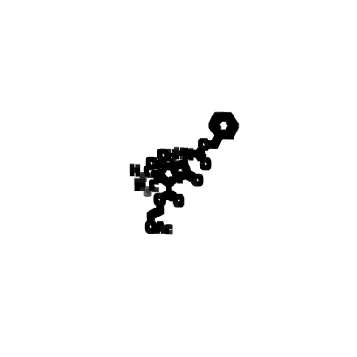 CC(=O)OCCOC(=O)[C@@H]1N2C(=O)[C@@H](NC(=O)OCc3ccccc3)[C@H]2S(=O)(=O)C1(C)C